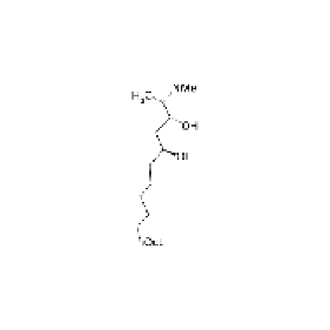 CCCCCCCCCCCCC[C@H](O)C[C@@H](O)[C@H](C)NC